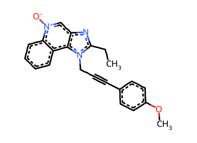 CCc1nc2c[n+]([O-])c3ccccc3c2n1CC#Cc1ccc(OC)cc1